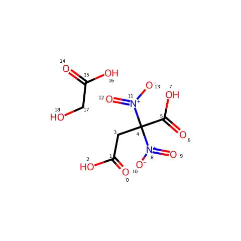 O=C(O)CC(C(=O)O)([N+](=O)[O-])[N+](=O)[O-].O=C(O)CO